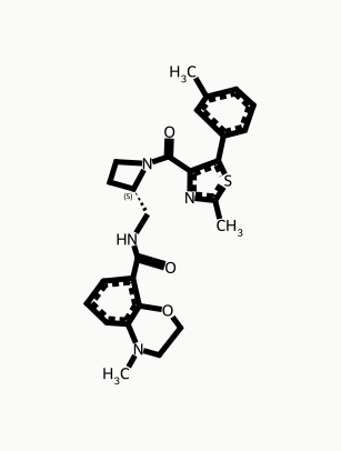 Cc1cccc(-c2sc(C)nc2C(=O)N2CC[C@H]2CNC(=O)c2cccc3c2OCCN3C)c1